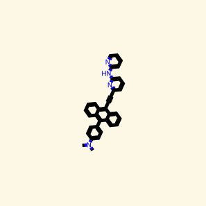 CN(C)c1ccc(-c2c3ccccc3c(C#Cc3cccc(Nc4ccccn4)n3)c3ccccc23)cc1